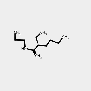 C=C(NCCC)[C@@H](CC)CCCC